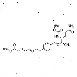 C[C@@H](OCc1ccc(CCOCCOCC(=O)OC(C)(C)C)cc1)[C@H](CCC(N)=O)NC(=O)OC(C)(C)C